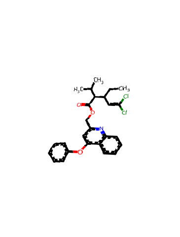 CCC(C=C(Cl)Cl)C(C(=O)OCc1cc(Oc2ccccc2)c2ccccc2n1)C(C)C